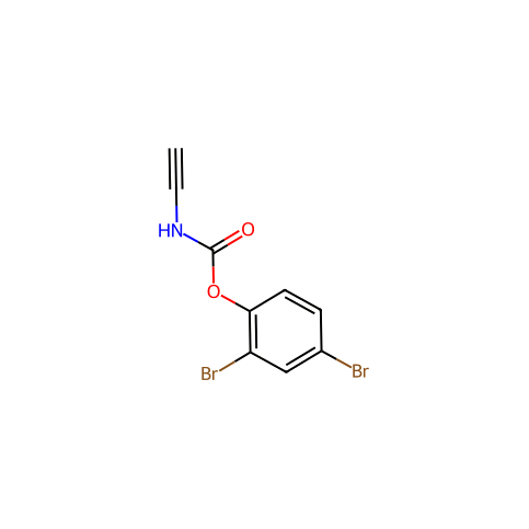 C#CNC(=O)Oc1ccc(Br)cc1Br